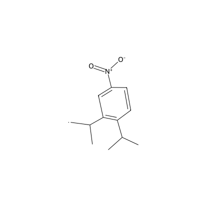 [CH2]C(C)c1cc([N+](=O)[O-])ccc1C(C)C